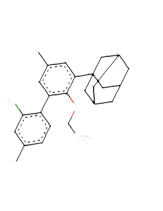 COCOc1c(-c2ccc(C)cc2Br)cc(C)cc1C12CC3CC(CC(C3)C1)C2